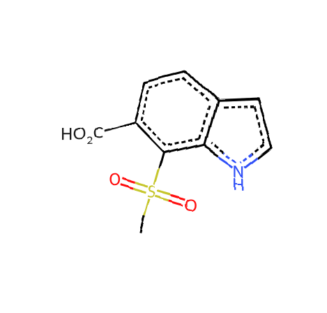 CS(=O)(=O)c1c(C(=O)O)ccc2cc[nH]c12